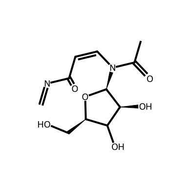 C=NC(=O)/C=C\N(C(C)=O)[C@@H]1O[C@H](CO)C(O)[C@@H]1O